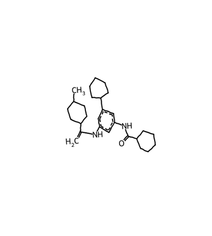 C=C(Nc1cc(NC(=O)C2CCCCC2)cc(C2CCCCC2)c1)C1CCC(C)CC1